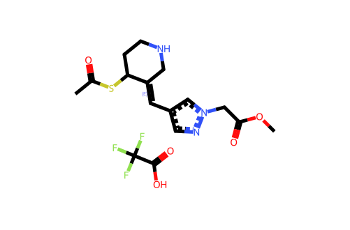 COC(=O)Cn1cc(/C=C2\CNCCC2SC(C)=O)cn1.O=C(O)C(F)(F)F